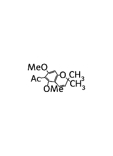 COc1cc2c(c(OC)c1C(C)=O)C=CC(C)(C)O2